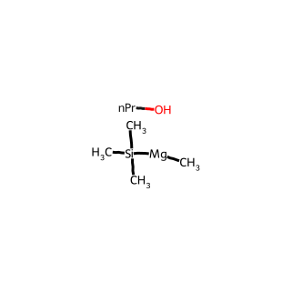 CCCO.[CH3][Mg][Si](C)(C)C